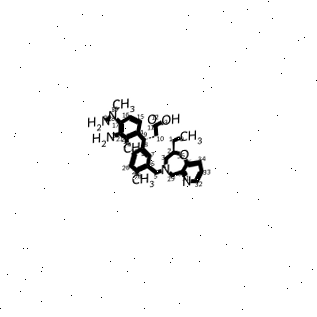 CC[C@@H]1CN(Cc2cc([C@@H](CC(=O)O)c3ccc(N(C)N)c(N)c3C)ccc2C)Cc2ncccc2O1